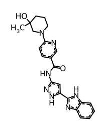 CC1(O)CCCN(c2ccc(C(=O)Nc3cc(-c4nc5ccccc5[nH]4)[nH]n3)cn2)C1